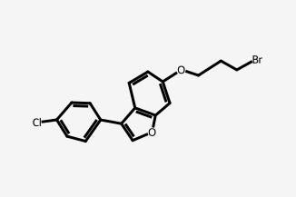 Clc1ccc(-c2coc3cc(OCCCBr)ccc23)cc1